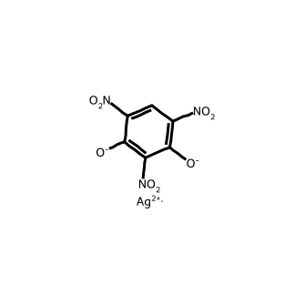 O=[N+]([O-])c1cc([N+](=O)[O-])c([O-])c([N+](=O)[O-])c1[O-].[Ag+2]